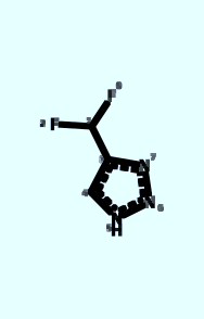 FC(F)c1c[nH]nn1